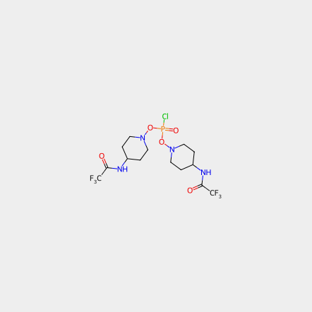 O=C(NC1CCN(OP(=O)(Cl)ON2CCC(NC(=O)C(F)(F)F)CC2)CC1)C(F)(F)F